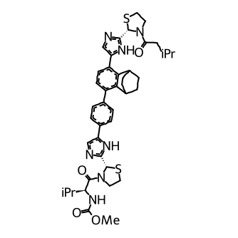 COC(=O)N[C@H](C(=O)N1CCS[C@H]1c1ncc(-c2ccc(-c3ccc(-c4cnc([C@@H]5SCCN5C(=O)CC(C)C)[nH]4)c4c3C3CCC4CC3)cc2)[nH]1)C(C)C